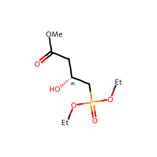 CCOP(=O)(C[C@H](O)CC(=O)OC)OCC